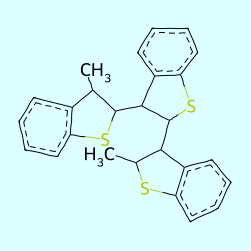 CC1Sc2ccccc2C1C1Sc2ccccc2C1C1Sc2ccccc2C1C